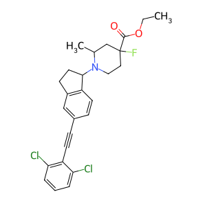 CCOC(=O)C1(F)CCN(C2CCc3cc(C#Cc4c(Cl)cccc4Cl)ccc32)C(C)C1